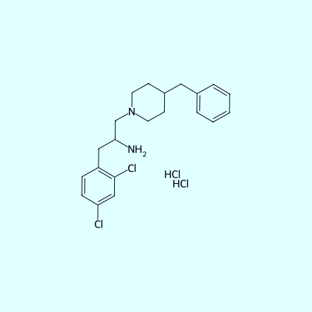 Cl.Cl.NC(Cc1ccc(Cl)cc1Cl)CN1CCC(Cc2ccccc2)CC1